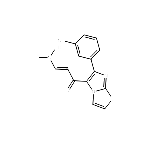 CN(C)C=CC(=O)c1c(-c2cccc(C#N)c2)nc2sccn12